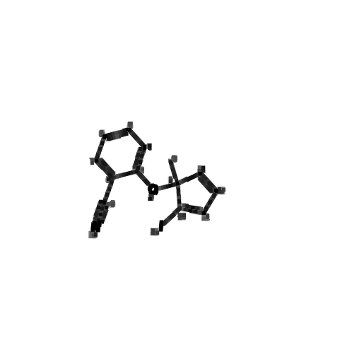 CC1(Oc2ccccc2C#N)C=CC=C1I